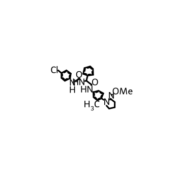 CON=C1CCCCN1c1ccc(NC(=O)C(NC(=O)Nc2ccc(Cl)cc2)c2ccccc2)cc1C